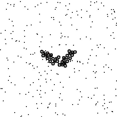 c1ccc(N(c2ccc3c(c2)C2(c4ccccc4-c4ccc(N(c5ccccc5)c5cccc6c5oc5cccc(-c7cc(N(c8ccccc8)c8ccc9c(c8)C8(c%10ccccc%10-c%10ccc(N(c%11ccccc%11)c%11cccc%12c%11sc%11ccccc%11%12)cc%108)c8c-9oc9ccccc89)c8sc9ccccc9c8c7)c56)cc42)c2c-3oc3ccccc23)c2cccc3c2oc2ccccc23)cc1